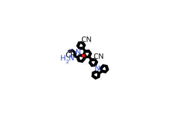 C/C=C\c1c(N)c2ccccc2n1-c1ccc(C#N)cc1-c1ccc(-c2ccc(-n3c4ccccc4c4ccccc43)cc2C#N)cc1